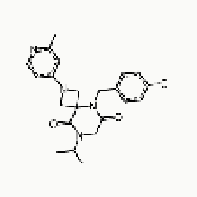 Cc1cc(N2CC3(C2)C(=O)N(C(C)C)CC(=O)N3Cc2ccc(Cl)cc2)ccn1